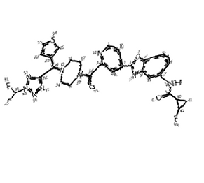 O=C(Nc1ccc2oc(-c3ccnc(C(=O)N4CCN(C(c5ccsc5)c5nnn(C(F)F)n5)CC4)c3)nc2c1)C1CC1F